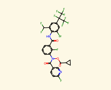 O=C(Nc1c(Br)cc(C(F)(C(F)(F)F)C(F)(F)F)cc1C(F)F)c1cccc(N(OC(=O)C2CC2)C(=O)c2ccc(F)nc2)c1F